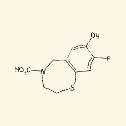 O=C(O)N1CCSc2cc(F)c(O)cc2C1